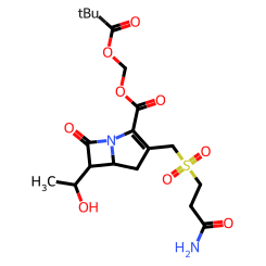 CC(O)C1C(=O)N2C(C(=O)OCOC(=O)C(C)(C)C)=C(CS(=O)(=O)CCC(N)=O)CC12